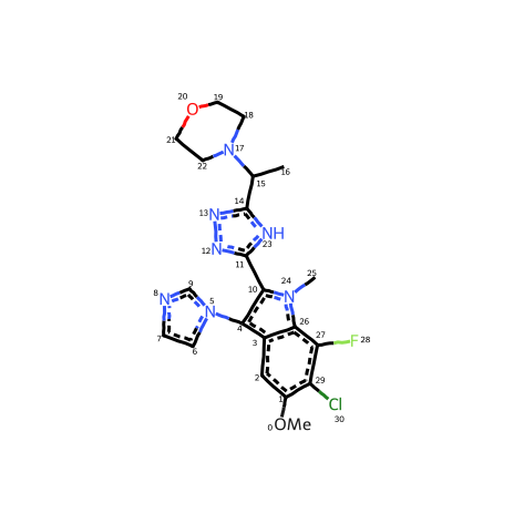 COc1cc2c(-n3ccnc3)c(-c3nnc(C(C)N4CCOCC4)[nH]3)n(C)c2c(F)c1Cl